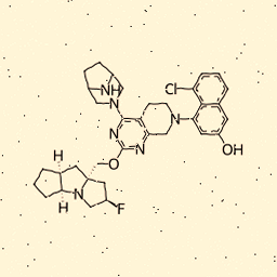 Oc1cc(N2CCc3c(nc(OC[C@]45C[C@@H](F)CN4[C@H]4CCC[C@H]4C5)nc3N3CC4CCC(C3)N4)C2)c2c(Cl)cccc2c1